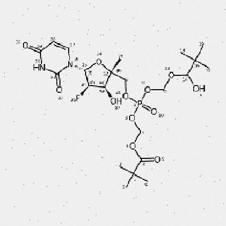 CC(C)(C)C(=O)OCOP(=O)(OCOC(O)C(C)(C)C)OC[C@@]1(C)O[C@@H](n2ccc(=O)[nH]c2=O)[C@H](F)[C@@H]1O